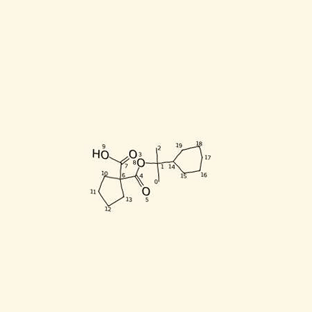 CC(C)(OC(=O)C1(C(=O)O)CCCC1)C1CCCCC1